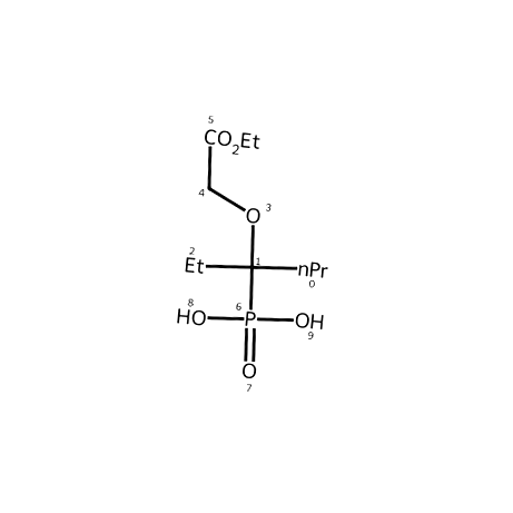 CCCC(CC)(OCC(=O)OCC)P(=O)(O)O